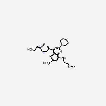 C=C(/C=C\C(F)=C/CO)c1nc(N2CCOCC2)nc2c(NCCOC)cc(C(=O)O)nc12